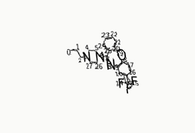 CCCN1CCN(C2=Nc3cc(C(F)(F)F)ccc3Oc3ccccc32)CC1